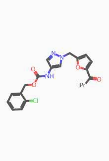 CC(C)C(=O)c1ccc(Cn2cc(NC(=O)OCc3ccccc3Cl)cn2)o1